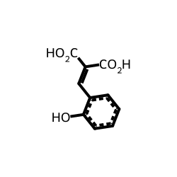 O=C(O)C(=Cc1ccccc1O)C(=O)O